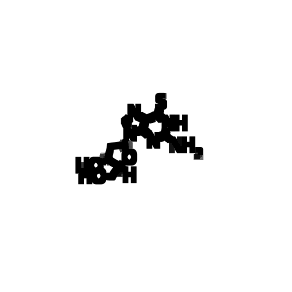 [2H][C@]1(CO)O[C@@H](n2cnc3c(=S)[nH]c(N)nc32)C[C@@H]1O